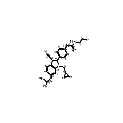 CCCNC(=O)Nc1ccc(C2C(C#N)c3ccc(OC(F)F)cc3N2CC2CC2)cc1